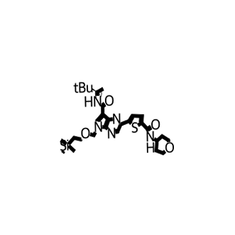 C[C@H](NC(=O)c1cn(COCC[Si](C)(C)C)c2ncc(-c3ccc(C(=O)NC4CCOCC4)s3)nc12)C(C)(C)C